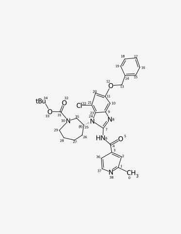 Cc1cc(C(=O)Nc2nc3cc(OCc4ccccc4)cc(Cl)c3n2[C@@H]2CCCCN(C(=O)OC(C)(C)C)C2)ccn1